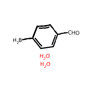 Bc1ccc(C=O)cc1.O.O